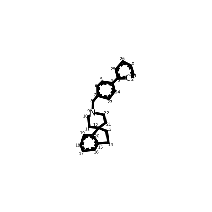 c1ccc(-c2ccc(CN3CCC4(CCc5ccccc54)CC3)cc2)cc1